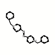 c1ccc(C[n+]2ccc(N=Nc3cc[n+](Cc4ccccc4)cc3)cc2)cc1